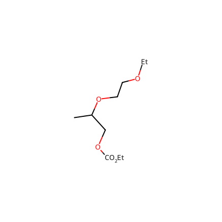 CCOCCOC(C)COC(=O)OCC